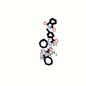 CCC(C)(N[C@H]1CCCCCC[C@H]1C(=O)C(C)(CC)N1C(=O)[C@@H]2CCCCCC[C@@H]21)C(=O)c1ccc(CN2C(=O)c3ccccc3C2=O)cc1